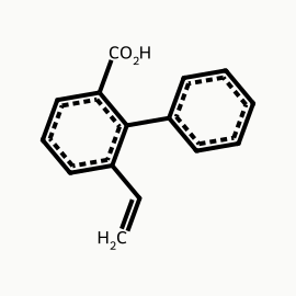 C=Cc1cccc(C(=O)O)c1-c1ccccc1